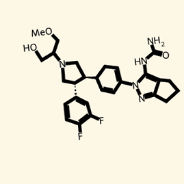 COCC(CO)N1C[C@@H](c2ccc(F)c(F)c2)[C@H](C2C=CC(n3nc4c(c3NC(N)=O)CCC4)=CC2)C1